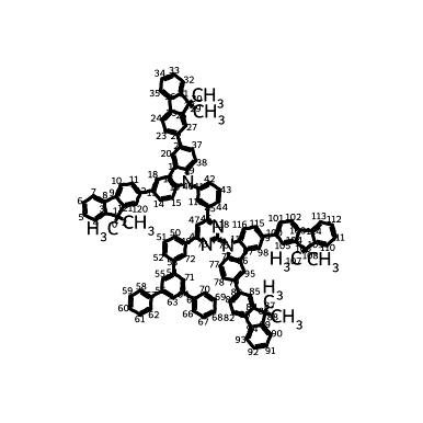 CC1(C)c2ccccc2-c2ccc(-c3ccc4c(c3)c3cc(-c5ccc6c(c5)C(C)(C)c5ccccc5-6)ccc3n4-c3cccc(-c4cc(-c5cccc(-c6cc(-c7ccccc7)cc(-c7ccccc7)c6)c5)nc(-n5c6ccc(-c7ccc8c(c7)C(C)(C)c7ccccc7-8)cc6c6cc(-c7ccc8c(c7)C(C)(C)c7ccccc7-8)ccc65)n4)c3)cc21